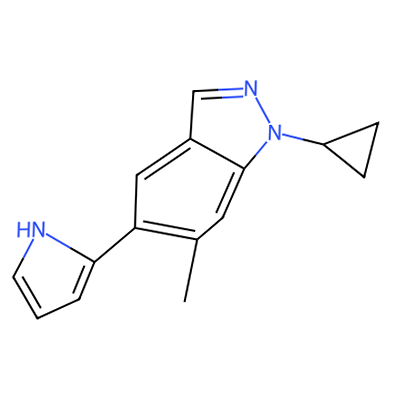 Cc1cc2c(cnn2C2CC2)cc1-c1ccc[nH]1